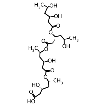 C[C@H](C[C@@H](O)CC(=O)O)OC(=O)C[C@H](O)C[C@@H](C)OC(=O)C[C@@H](C[C@@H](C)O)OC(=O)C[C@H](O)C[C@@H](C)O